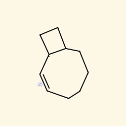 C1=C\[C]2CCC2CCCC/1